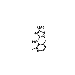 CSc1nnc(Nc2c(C)cccc2C)n1C